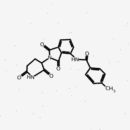 Cc1ccc(C(=O)Nc2cccc3c2C(=O)N(C2CCC(=O)NC2=O)C3=O)cc1